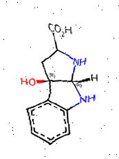 O=C(O)C1C[C@@]2(O)c3ccccc3N[C@H]2N1